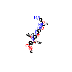 C=CCOOC(=O)c1ccc(NC(=O)c2ccc(NC(=O)c3ccc(NC(=O)C(CC#N)NC(=O)c4ccc(N)cc4)cc3)c(OC)c2OCC=C)c(OC)c1